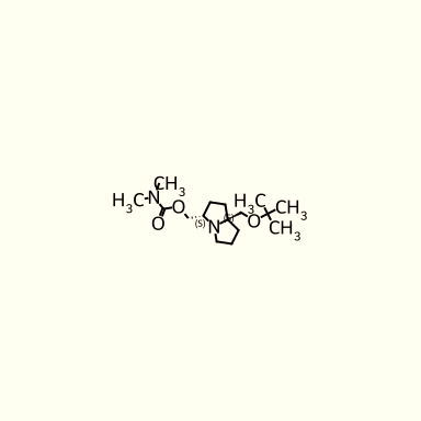 CN(C)C(=O)OC[C@@H]1CC[C@]2(COC(C)(C)C)CCCN12